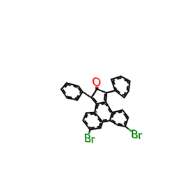 O=C1C(c2ccccc2)=c2c(c3ccc(Br)cc3c3cc(Br)ccc23)=C1c1ccccc1